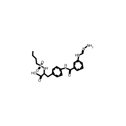 CCCCS(=O)(=O)NC(Cc1ccc(NC(=O)c2cccc(NC=NN)c2)cc1)C(=O)O